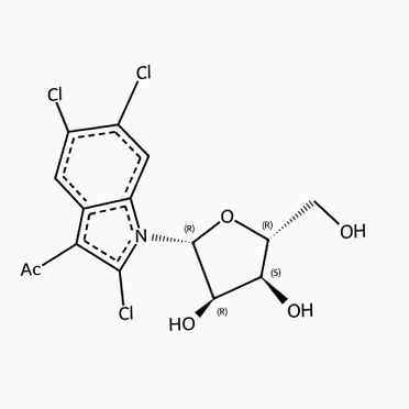 CC(=O)c1c(Cl)n([C@@H]2O[C@H](CO)[C@@H](O)[C@H]2O)c2cc(Cl)c(Cl)cc12